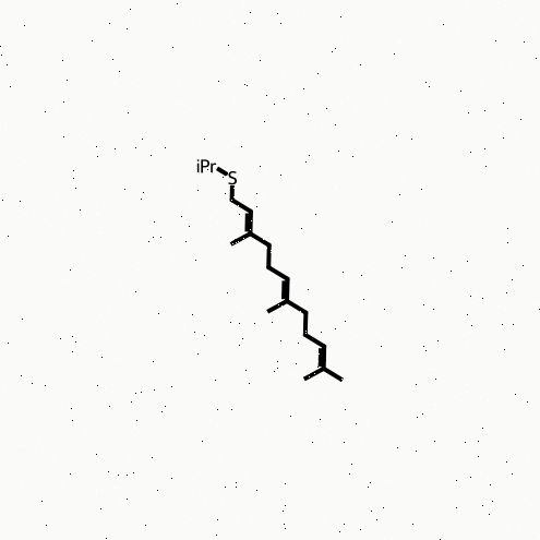 CC(C)=CCC/C(C)=C/CC/C(C)=C/CSC(C)C